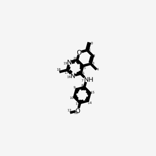 C=C1C=C(C)c2c(Nc3ccc(OC)cc3)nc(C)nc2O1